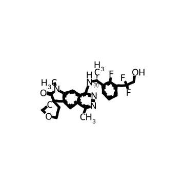 Cc1nnc(N[C@H](C)c2cccc(C(F)(F)CO)c2F)c2cc3c(cc12)C1(CCOCC1)C(=O)N3C